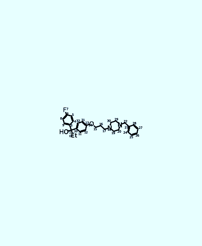 CCC(O)(c1ccc(F)cc1)c1ccc(OCCCN2CCN(Cc3ccccc3)CC2)cc1